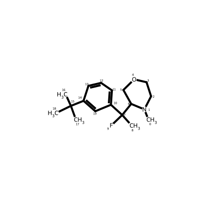 CN1CCOCC1C(C)(F)c1cccc(C(C)(C)C)c1